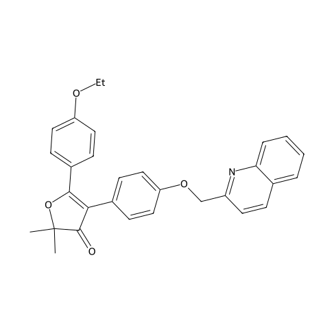 CCOc1ccc(C2=C(c3ccc(OCc4ccc5ccccc5n4)cc3)C(=O)C(C)(C)O2)cc1